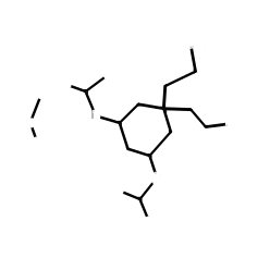 CCCC1(CCC)CC(PC(C)C)CC(PC(C)C)C1.[CH3][Ti][CH3]